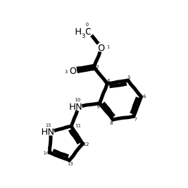 COC(=O)c1ccccc1Nc1ccc[nH]1